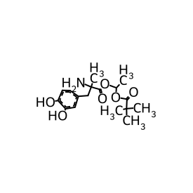 CC(OC(=O)C(C)(C)C)OC(=O)C(C)(N)Cc1ccc(O)c(O)c1